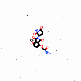 NC(=O)COc1cccc2c1C(=O)N(C1CCC(=O)NC1=O)C2=O.O=CO